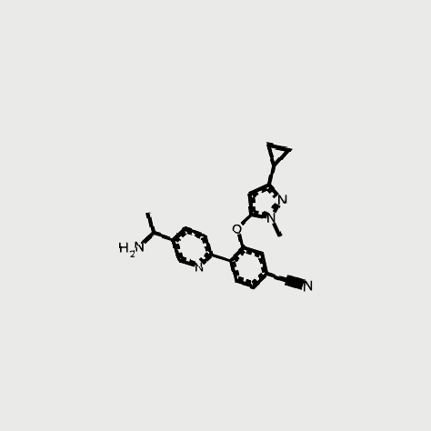 CC(N)c1ccc(-c2ccc(C#N)cc2Oc2cc(C3CC3)nn2C)nc1